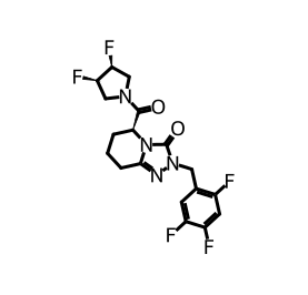 O=C([C@@H]1CCCc2nn(Cc3cc(F)c(F)cc3F)c(=O)n21)N1C[C@@H](F)[C@@H](F)C1